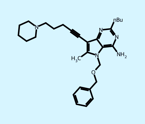 CCCCc1nc(N)c2c(n1)c(C#CCCCN1CCCCC1)c(C)n2COCc1ccccc1